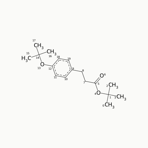 CC(C)(C)OC(=O)CCc1ccc(OC(C)(C)C)cc1